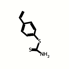 C=Cc1ccc(SC(N)=S)cc1